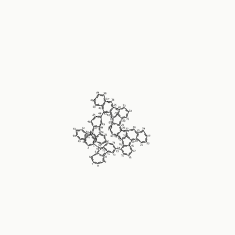 c1ccc(-n2c3ccccc3c3cc(-c4cccc5c6c7ccccc7cc7c8c9c%10cccc%11c%12cc%13ccccc%13c(-c%13ccc%14c(c%13)c%13ccccc%13n%14-c%13ccccc%13)c%12n(c9ncc8n(c45)c76)c%11%10)ccc32)cc1